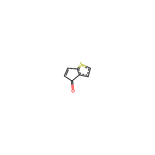 O=C1C=Cc2sccc21